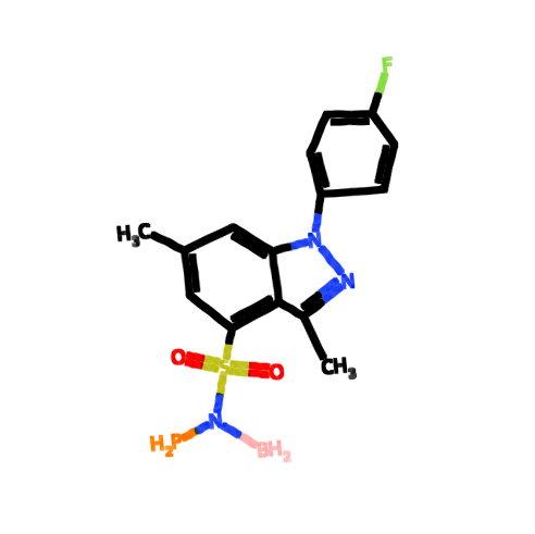 BN(P)S(=O)(=O)c1cc(C)cc2c1c(C)nn2-c1ccc(F)cc1